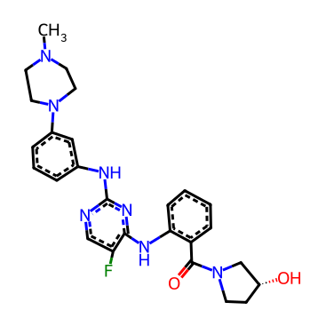 CN1CCN(c2cccc(Nc3ncc(F)c(Nc4ccccc4C(=O)N4CC[C@@H](O)C4)n3)c2)CC1